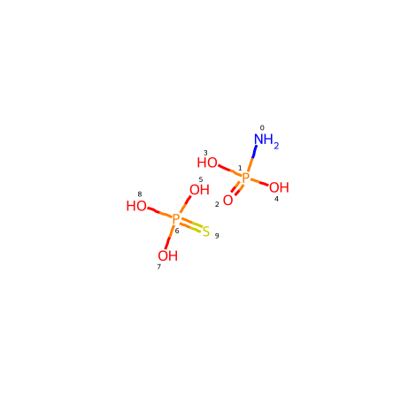 NP(=O)(O)O.OP(O)(O)=S